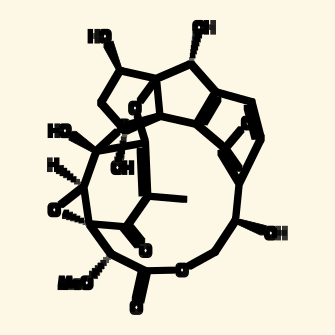 CO[C@H]1C(=O)OC[C@H](O)c2ccc3c(c2Cl)C24O[C@]5(O)C(=C(C)C(=O)[C@@]16O[C@H]65)OC2([C@H](O)C[C@H]4O)[C@@H]3O